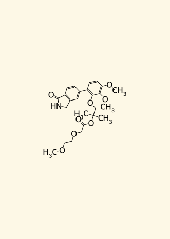 COCCOCC(=O)OC(C)(C)COc1c(-c2ccc3c(c2)CNC3=O)ccc(OC)c1OC